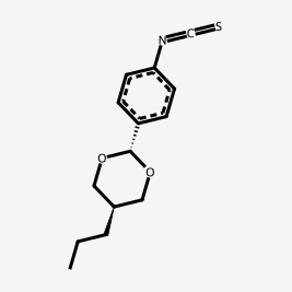 CCC[C@H]1CO[C@H](c2ccc(N=C=S)cc2)OC1